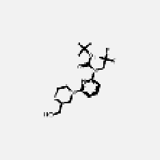 CC(C)(C)OC(=O)N(CC(F)(F)F)c1cccc(N2CCSC(CO)C2)n1